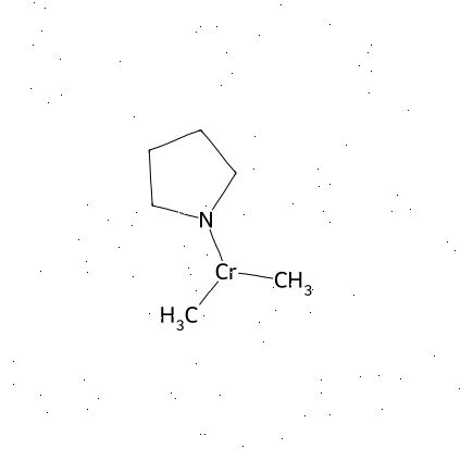 [CH3][Cr]([CH3])[N]1CCCC1